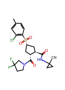 Cc1ccc(S(=O)(=O)[C@@H]2C[C@@H](C(=O)NC3(C#N)CC3)[C@H](C(=O)N3CCC(F)(F)C3)C2)c(Cl)c1